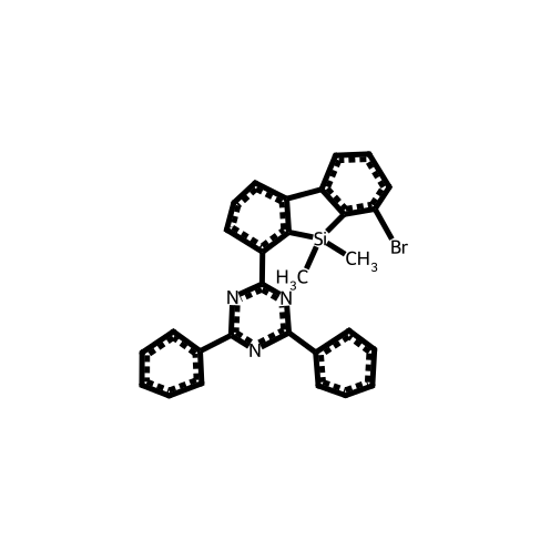 C[Si]1(C)c2c(Br)cccc2-c2cccc(-c3nc(-c4ccccc4)nc(-c4ccccc4)n3)c21